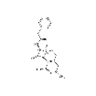 COCC1=C(C(=O)O)N2C(=O)[C@@H](NC(=O)Cc3ccccc3)[C@H]2SC1